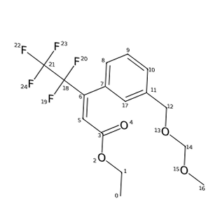 CCOC(=O)/C=C(\c1cccc(COCOC)c1)C(F)(F)C(F)(F)F